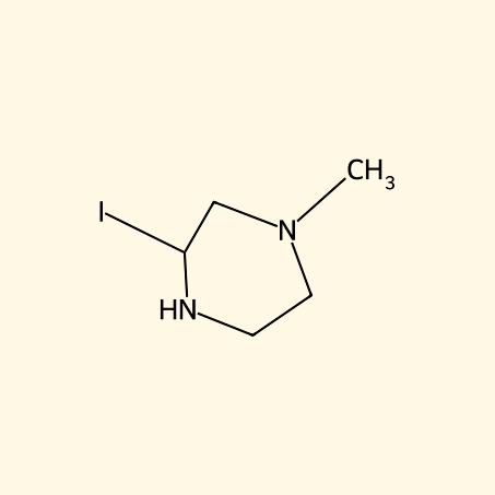 CN1CCNC(I)C1